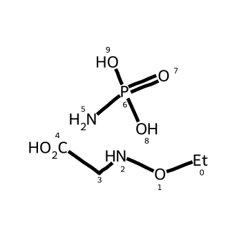 CCONCC(=O)O.NP(=O)(O)O